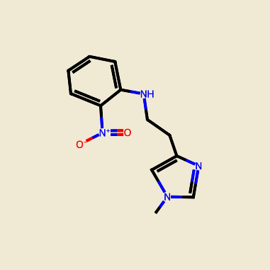 Cn1cnc(CCNc2ccccc2[N+](=O)[O-])c1